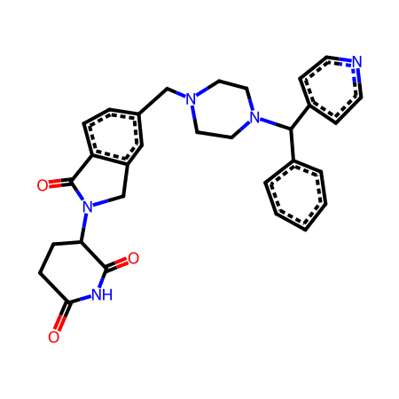 O=C1CCC(N2Cc3cc(CN4CCN(C(c5ccccc5)c5ccncc5)CC4)ccc3C2=O)C(=O)N1